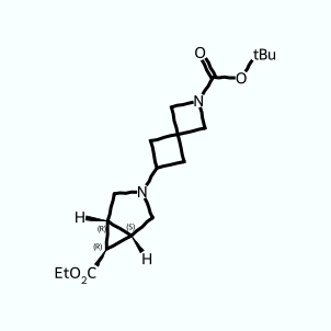 CCOC(=O)[C@H]1[C@@H]2CN(C3CC4(C3)CN(C(=O)OC(C)(C)C)C4)C[C@@H]21